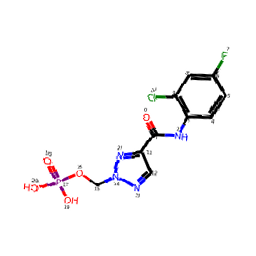 O=C(Nc1ccc(F)cc1Cl)c1cnn(COP(=O)(O)O)n1